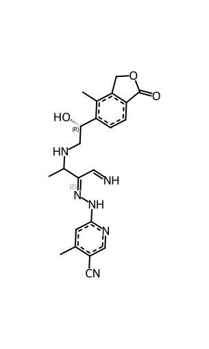 Cc1cc(N/N=C(\C=N)C(C)NC[C@H](O)c2ccc3c(c2C)COC3=O)ncc1C#N